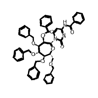 O=C(Nc1ccn([C@@H]2O[C@H](COCc3ccccc3)[C@@H](OCc3ccccc3)[C@H](OCc3ccccc3)[C@@H](OCc3ccccc3)[C@H]2OC(=O)c2ccccc2)c(=O)n1)c1ccccc1